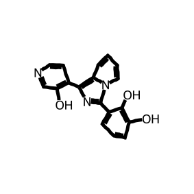 Oc1cnccc1-c1nc(-c2cccc(O)c2O)n2ccccc12